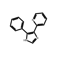 [c]1nc(-c2ccccn2)c(-c2ccccc2)[nH]1